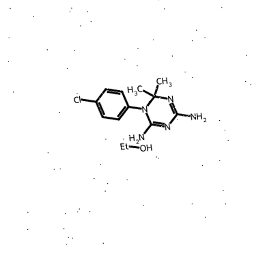 CC1(C)N=C(N)N=C(N)N1c1ccc(Cl)cc1.CCO